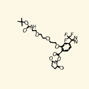 CC(C)(C)OC(=O)NCCOCCOCCOc1cc(C2(C(F)(F)F)N=N2)ccc1C(=O)ON1C(=O)CCC1=O